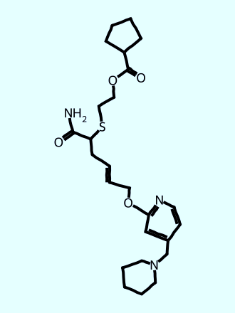 NC(=O)C(CC=CCOc1cc(CN2CCCCC2)ccn1)SCCOC(=O)C1CCCC1